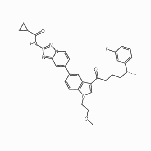 COCCn1cc(C(=O)CCC[C@@H](C)c2cccc(F)c2)c2cc(-c3ccn4nc(NC(=O)C5CC5)nc4c3)ccc21